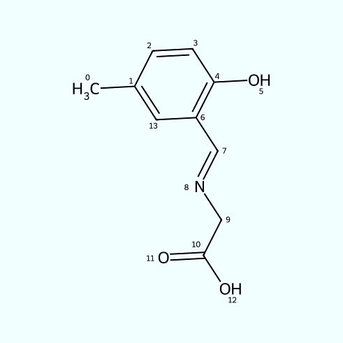 Cc1ccc(O)c(C=NCC(=O)O)c1